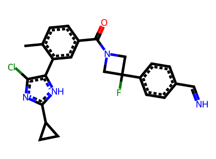 Cc1ccc(C(=O)N2CC(F)(c3ccc(C=N)cc3)C2)cc1-c1[nH]c(C2CC2)nc1Cl